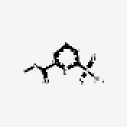 COC(=O)c1cccc(S(N)(=O)=O)n1